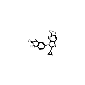 Cc1ccc2nc(C3CC3)n(-c3ccc4[nH]c(=O)sc4c3)c2n1